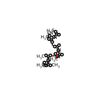 Cc1ccc2c(c1)c1ccccc1n2-c1cnc(-n2c3ccccc3c3cc(Cc4ccc5c(c4)c4ccc(C)cc4n5-c4cnc(-n5c6ccccc6c6ccc(C)cc65)cc4-c4cccc(C#N)c4)ccc32)cc1-c1ccc(Cc2ccc3c4ccc(C)cc4n(-c4cc(-c5cccc(C#N)c5)c(-n5c6cc(C)ccc6c6ccc(C)cc65)cn4)c3c2)c(C#N)c1